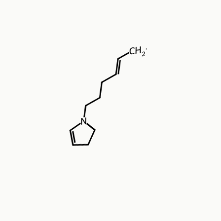 [CH2]C=CCCCN1C=CCC1